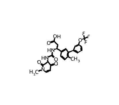 Cc1ccc(C(CC(=O)O)NC(=O)NC2C(=O)C=CN(C)C2=O)cc1-c1cccc(OC(F)(F)F)c1